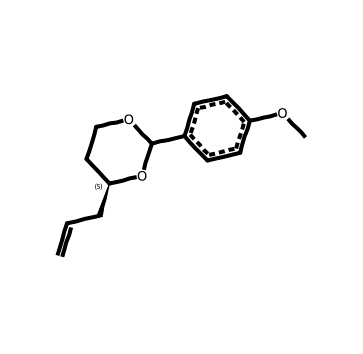 C=CC[C@H]1CCOC(c2ccc(OC)cc2)O1